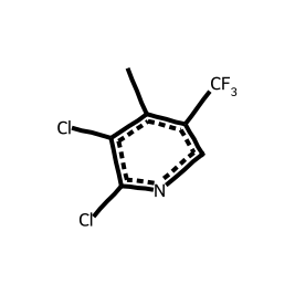 Cc1c(C(F)(F)F)cnc(Cl)c1Cl